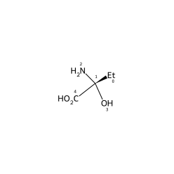 CC[C@@](N)(O)C(=O)O